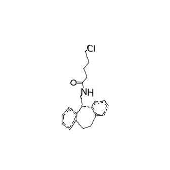 O=C(CCCCCl)NCC1c2ccccc2CCc2ccccc21